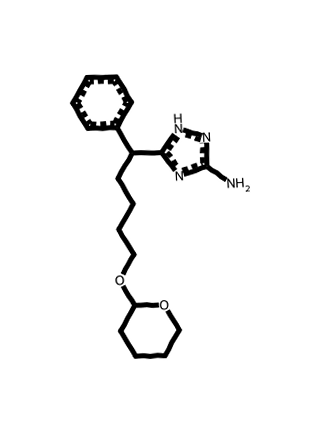 Nc1n[nH]c(C(CCCCOC2CCCCO2)c2ccccc2)n1